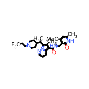 COc1cc(C)[nH]c(=O)c1CNC(=O)c1c(C)c(C(C)C2CCN(CCC(F)(F)F)CC2)n2ncccc12